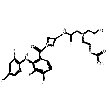 O=C(CN(CCO)CCOC(=O)C(F)(F)F)NC1CN(C(=O)c2ccc(F)c(F)c2Nc2ccc(I)cc2F)C1